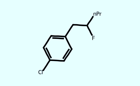 [CH2]CCC(F)Cc1ccc(Cl)cc1